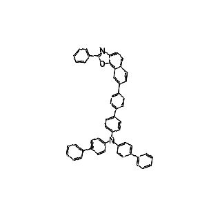 c1ccc(-c2ccc(N(c3ccc(-c4ccccc4)cc3)c3ccc(-c4ccc(-c5ccc6ccc7nc(-c8ccccc8)oc7c6c5)cc4)cc3)cc2)cc1